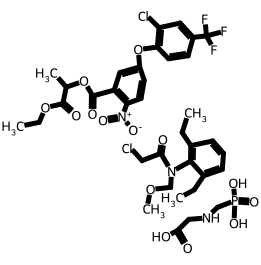 CCOC(=O)C(C)OC(=O)c1cc(Oc2ccc(C(F)(F)F)cc2Cl)ccc1[N+](=O)[O-].CCc1cccc(CC)c1N(COC)C(=O)CCl.O=C(O)CNCP(=O)(O)O